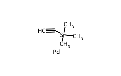 C#C[Si](C)(C)C.[Pd]